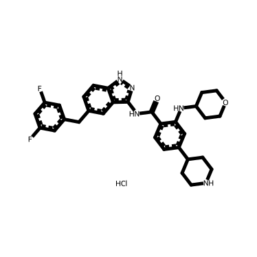 Cl.O=C(Nc1n[nH]c2ccc(Cc3cc(F)cc(F)c3)cc12)c1ccc(C2CCNCC2)cc1NC1CCOCC1